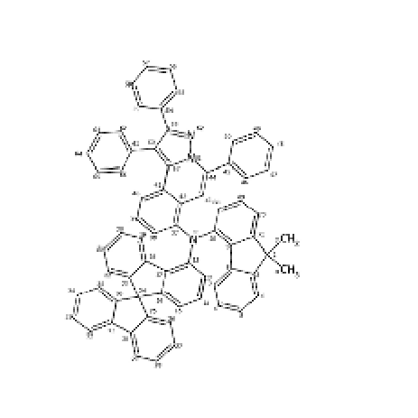 CC1(C)c2ccccc2-c2c(N(c3cccc4c3-c3ccccc3C43c4ccccc4-c4ccccc43)c3cccc4c3cc(-c3ccccc3)n3nc(-c5ccccc5)c(-c5ccccc5)c43)cccc21